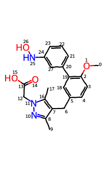 COc1ccc(Cc2c(C)nn(CC(=O)O)c2C)cc1-c1cccc(NO)c1